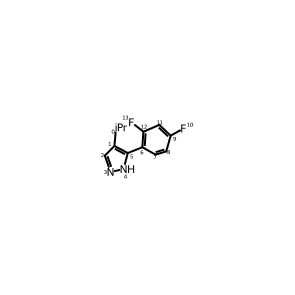 CC(C)c1cn[nH]c1-c1ccc(F)cc1F